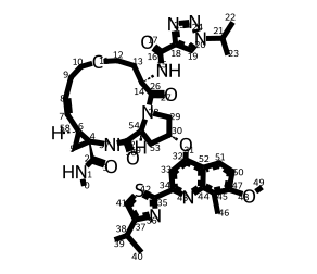 CNC(=O)[C@@]12C[C@H]1/C=C\CCCCC[C@H](NC(=O)c1cn(C(C)C)nn1)C(=O)N1C[C@H](Oc3cc(-c4nc(C(C)C)cs4)nc4c(C)c(OC)ccc34)C[C@H]1C(=O)N2